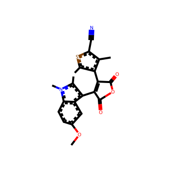 COc1ccc2c(c1)c(C1=C(c3c(C)sc(C#N)c3C)C(=O)OC1=O)c(C)n2C